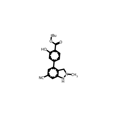 CN1Cc2c(cc(C#N)cc2-c2ccc(C(=O)OC(C)(C)C)c(O)c2)N1